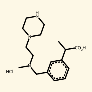 CC(C(=O)O)c1cccc(CN(C)CCN2CCNCC2)c1.Cl